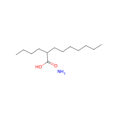 N.[CH2]CCCCCCC(CCCC)C(=O)O